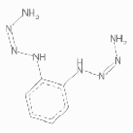 N/N=N\Nc1ccccc1N/N=N\N